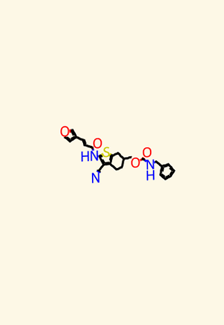 N#Cc1c(NC(=O)C=Cc2ccoc2)sc2c1CCC(COC(=O)NCc1ccccc1)C2